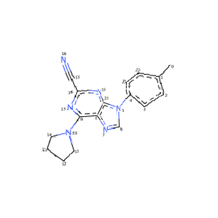 Cc1ccc(-n2cnc3c(N4CCCC4)nc(C#N)nc32)cc1